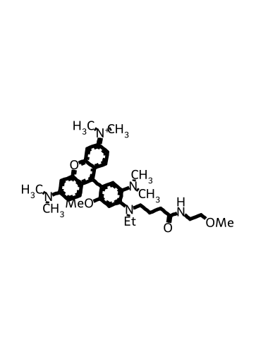 CCN(CCCC(=O)NCCOC)c1cc(OC)c(-c2c3ccc(=[N+](C)C)cc-3oc3cc(N(C)C)ccc23)cc1N(C)C